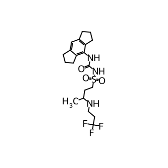 CC(CCS(=O)(=O)NC(=O)Nc1c2c(cc3c1CCC3)CCC2)NCCC(F)(F)F